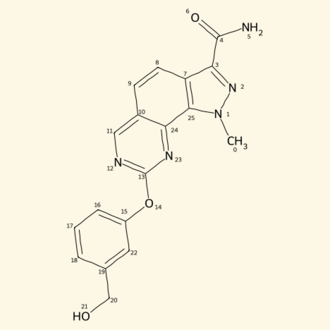 Cn1nc(C(N)=O)c2ccc3cnc(Oc4cccc(CO)c4)nc3c21